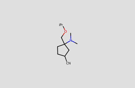 CC(C)OCC1(N(C)C)CCC(C#N)C1